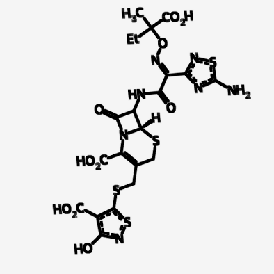 CCC(C)(ON=C(C(=O)NC1C(=O)N2C(C(=O)O)=C(CSc3snc(O)c3C(=O)O)CS[C@@H]12)c1nsc(N)n1)C(=O)O